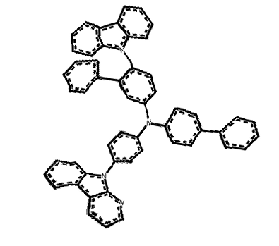 c1ccc(-c2ccc(N(c3ccc(-n4c5ccccc5c5cccnc54)cc3)c3ccc(-n4c5ccccc5c5ccccc54)c(-c4ccccc4)c3)cc2)cc1